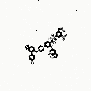 CN1N=CC2C=C(S(=O)(=O)NC(=O)c3ccc(N4CCN(CC5=C(c6ccc(Cl)cc6)CC6(CCC6)CC5)CC4)cc3Oc3cnc4[nH]ccc4c3)C=C([N+](=O)[O-])C21